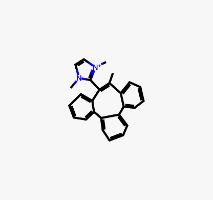 C/C1=C(\c2n(C)cc[n+]2C)c2ccccc2-c2ccccc2-c2ccccc21